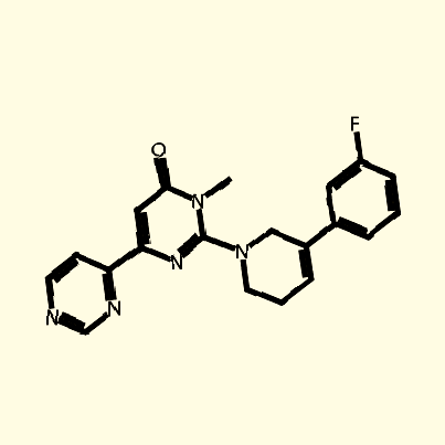 Cn1c(N2CCC=C(c3cccc(F)c3)C2)nc(-c2ccncn2)cc1=O